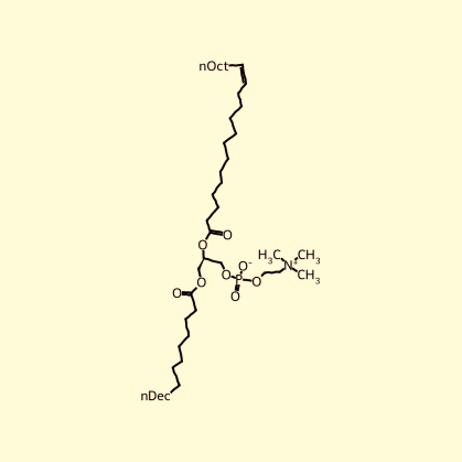 CCCCCCCC/C=C\CCCCCCCCCCCC(=O)O[C@H](COC(=O)CCCCCCCCCCCCCCCCC)COP(=O)([O-])OCC[N+](C)(C)C